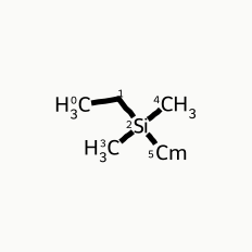 CC[Si](C)(C)[Cm]